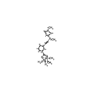 Cc1ncc(C(C)C#Cc2cccc(B3OC(C)(C)C(C)(C)O3)c2)s1